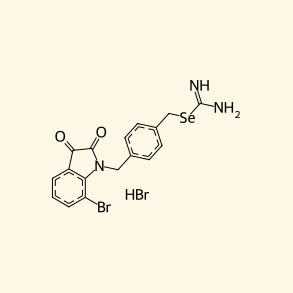 Br.N=C(N)[Se]Cc1ccc(CN2C(=O)C(=O)c3cccc(Br)c32)cc1